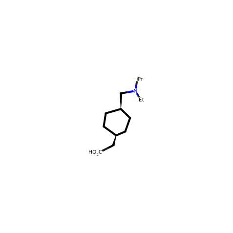 CCN(C[C@H]1CC[C@@H](CC(=O)O)CC1)C(C)C